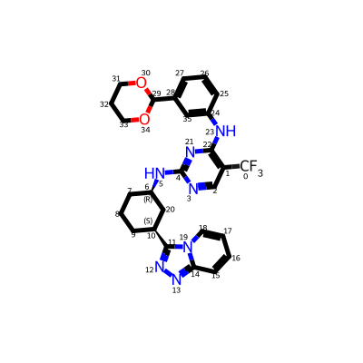 FC(F)(F)c1cnc(N[C@@H]2CCC[C@H](c3nnc4ccccn34)C2)nc1Nc1cccc(C2OCCCO2)c1